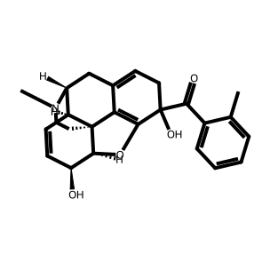 Cc1ccccc1C(=O)C1(O)CC=C2C[C@@H]3[C@@H]4C=C[C@H](O)[C@@H]5OC1=C2[C@]45CCN3C